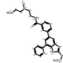 CCOC(=O)Nc1nc2cc(-c3cncc(C(=O)NCCN(CC)CCOC)c3)cc(-c3ccccn3)c2[nH]1